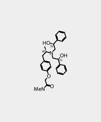 CNC(=O)COc1ccc(C[C@@H](C)N(C[C@@H](O)c2ccccc2)C[C@@H](O)c2ccccc2)cc1